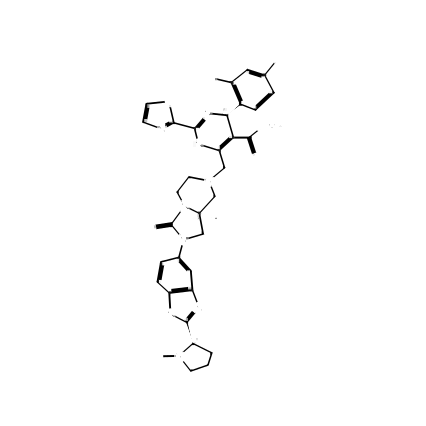 COC(=O)C1=C(CN2CCN3C(=O)N(c4ccc5[nH]c([C@H]6CCCN6C)nc5c4)C[C@@H]3C2)NC(c2nccs2)=N[C@H]1c1ccc(F)cc1Cl